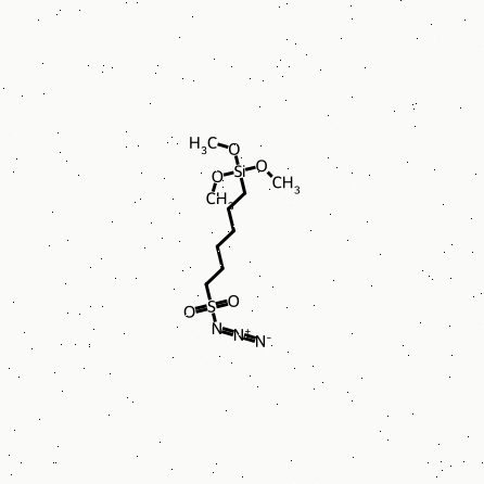 CO[Si](CCCCCCS(=O)(=O)N=[N+]=[N-])(OC)OC